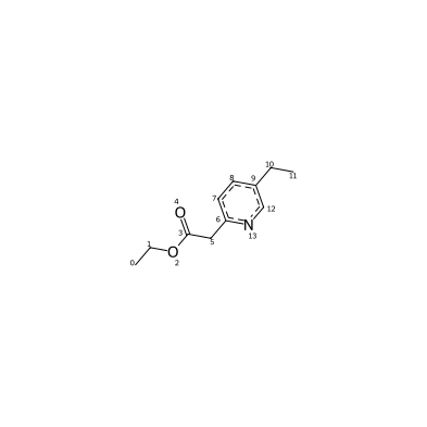 CCOC(=O)Cc1ccc(CC)cn1